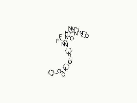 O=C(Nc1cn(C2CCN(CCOC3CCN(C(=O)OCc4ccccc4)CC3)CC2)nc1C(F)F)c1cnn2ccc(N3CCOCC3)nc12